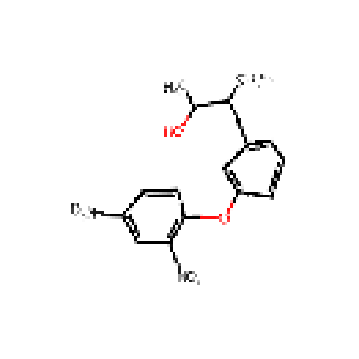 CCOC(=O)C(c1cccc(Oc2ccc([N+](=O)[O-])cc2[N+](=O)[O-])c1)C(C)O